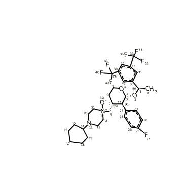 C[C@@H](O[C@H]1OCC[C@@H](C[N+]2([O-])CCN(C3CCCCC3)CC2)[C@@H]1c1ccc(F)cc1)c1cc(C(F)(F)F)cc(C(F)(F)F)c1